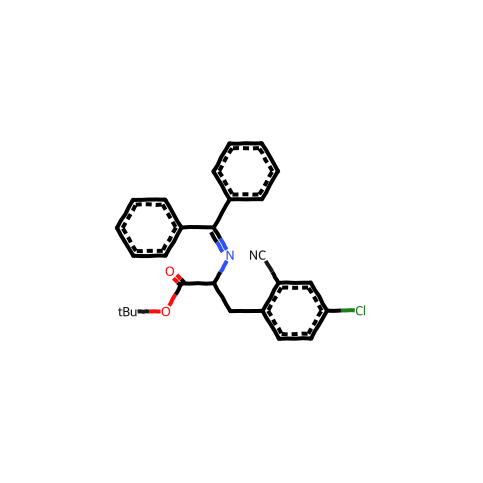 CC(C)(C)OC(=O)C(Cc1ccc(Cl)cc1C#N)N=C(c1ccccc1)c1ccccc1